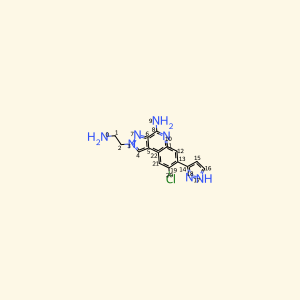 NCCn1cc2c(n1)c(N)nc1cc(-c3cc[nH]n3)c(Cl)cc12